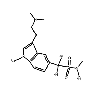 [2H]N(C)S(=O)(=O)C([2H])([2H])c1ccc2c(c1)c(CCN(C)C)cn2[2H]